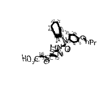 CCCO[C@H]1CC[C@H](N(C(=O)Nc2ncc([S@+]([O-])CC(=O)O)s2)C2CCCCC2)CC1